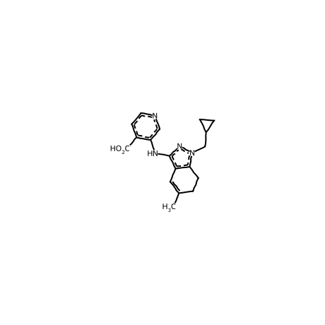 CC1=Cc2c(Nc3cnccc3C(=O)O)nn(CC3CC3)c2CC1